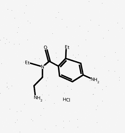 CCc1cc(N)ccc1C(=O)N(CC)CCN.Cl